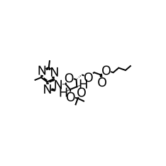 CCCCOC(=O)COC[C@H]1O[C@@H](n2cnc3c(C)nc(C)nc32)[C@@H]2OC(C)(C)O[C@@H]21